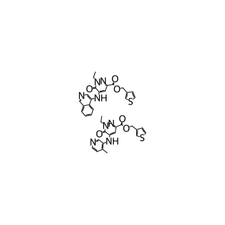 CCn1nc(C(=O)OCc2ccsc2)cc(Nc2cncc3ccccc23)c1=O.CCn1nc(C(=O)OCc2ccsc2)cc(Nc2cnccc2C)c1=O